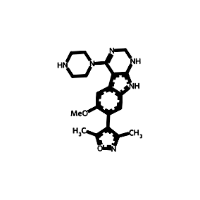 COc1cc2c3c([nH]c2cc1-c1c(C)noc1C)NCN=C3N1CCNCC1